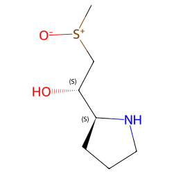 C[S+]([O-])C[C@@H](O)[C@@H]1CCCN1